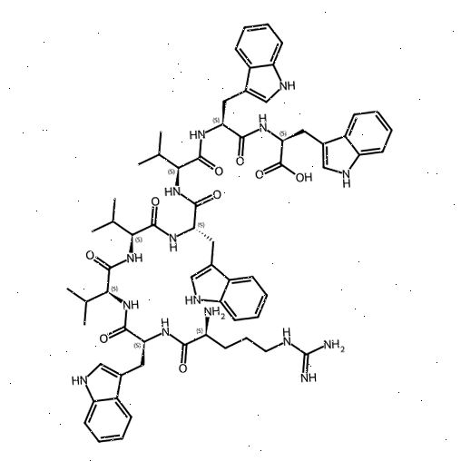 CC(C)[C@H](NC(=O)[C@H](Cc1c[nH]c2ccccc12)NC(=O)[C@@H](NC(=O)[C@@H](NC(=O)[C@H](Cc1c[nH]c2ccccc12)NC(=O)[C@@H](N)CCCNC(=N)N)C(C)C)C(C)C)C(=O)N[C@@H](Cc1c[nH]c2ccccc12)C(=O)N[C@@H](Cc1c[nH]c2ccccc12)C(=O)O